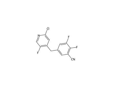 N#Cc1cc(Cc2cc(Cl)ncc2F)cc(F)c1F